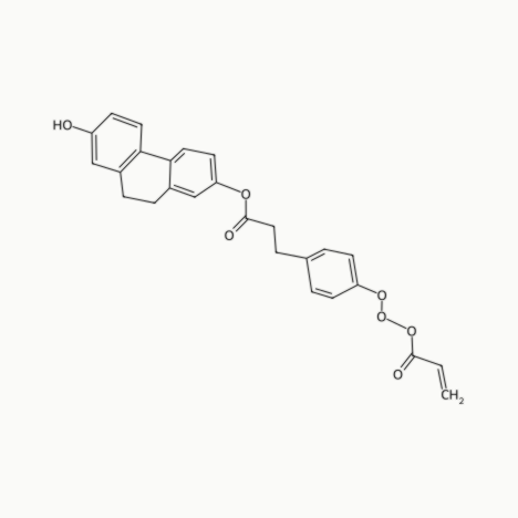 C=CC(=O)OOOc1ccc(CCC(=O)Oc2ccc3c(c2)CCc2cc(O)ccc2-3)cc1